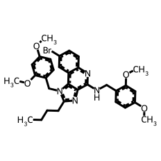 CCCCc1nc2c(NCc3ccc(OC)cc3OC)nc3ccc(Br)cc3c2n1Cc1ccc(OC)cc1OC